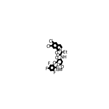 CC[C@@H](C(=O)NC(CC(=O)OC(C)(C)C)C(=O)COc1c(F)c(F)cc(F)c1F)n1ccc2cc(Cl)c(Cl)cc2c1=O